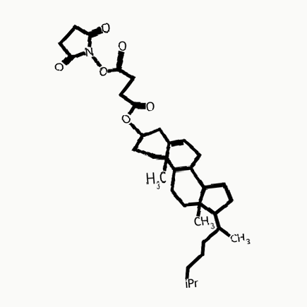 CC(C)CCCC(C)C1CCC2C3CC=C4CC(OC(=O)CCC(=O)ON5C(=O)CCC5=O)CCC4(C)C3CCC12C